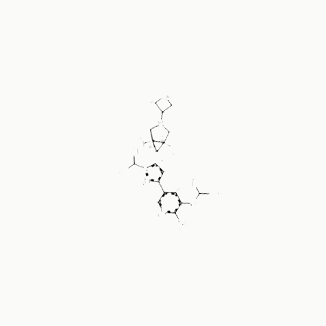 CC(C)n1nc(-c2cnc(N)c(OC(F)F)c2)cc1[C@@H]1[C@@H]2CN(C3COC3)C[C@@H]21